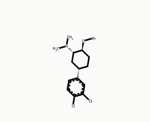 CC(C)O[C@H]1CC[C@H](c2ccc(Cl)c(Cl)c2)C[C@@H]1N(C)C